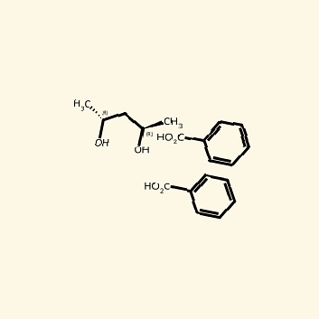 C[C@@H](O)C[C@@H](C)O.O=C(O)c1ccccc1.O=C(O)c1ccccc1